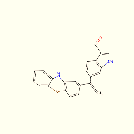 C=C(c1ccc2c(c1)Nc1ccccc1S2)c1ccc2c(C=O)c[nH]c2c1